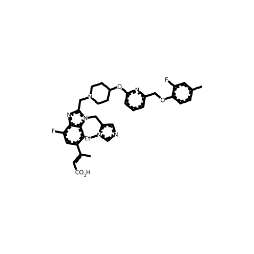 CCn1cncc1Cn1c(CN2CCC(Oc3cccc(COc4ccc(C)cc4F)n3)CC2)nc2c(F)cc(/C(C)=C/C(=O)O)cc21